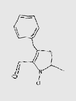 CC1SC(c2ccccc2)=C(C=O)N1Cl